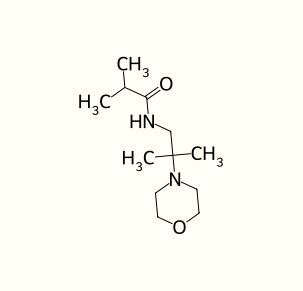 CC(C)C(=O)NCC(C)(C)N1CCOCC1